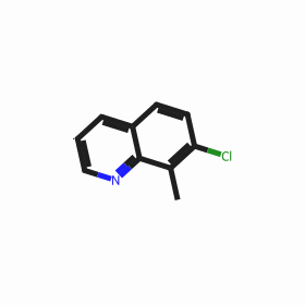 Cc1c(Cl)ccc2c[c]cnc12